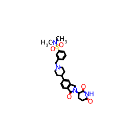 CN(C)S(=O)(=O)c1cccc(CN2CCC(c3ccc4c(c3)CN(C3CCC(=O)NC3=O)C4=O)CC2)c1